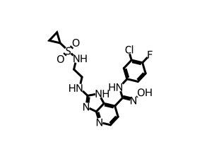 O=S(=O)(NCCNc1nc2nccc(/C(=N/O)Nc3ccc(F)c(Cl)c3)c2[nH]1)C1CC1